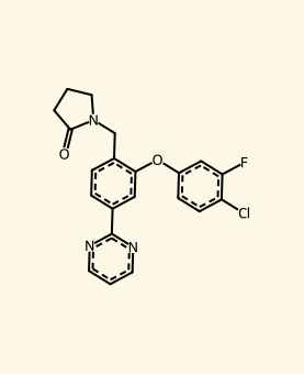 O=C1CCCN1Cc1ccc(-c2ncccn2)cc1Oc1ccc(Cl)c(F)c1